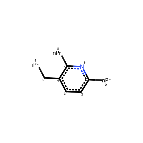 CCCc1ccc(CC(C)C)c(CCC)n1